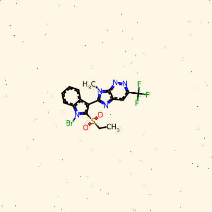 CCS(=O)(=O)c1c(-c2nc3cc(C(F)(F)F)nnc3n2C)c2ccccc2n1Br